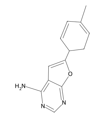 CC1=CCC(c2cc3c(N)ncnc3o2)C=C1